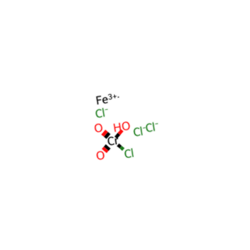 [Cl-].[Cl-].[Cl-].[Fe+3].[O]=[Cr](=[O])([OH])[Cl]